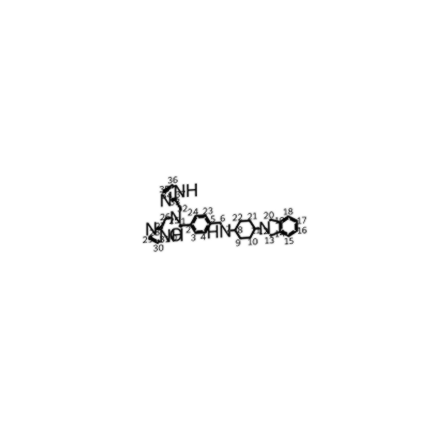 O=C(c1ccc(CNC2CCC(N3Cc4ccccc4C3)CC2)cc1)N(Cc1ncc[nH]1)Cc1ncc[nH]1